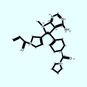 C=CC(=O)N1CC=C(c2c(C3=CC[C@H](C(=O)N4CCCC4)CC3)c3c(N)ncnc3n2C)C1